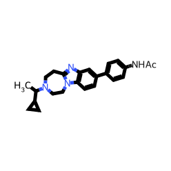 CC(=O)Nc1ccc(-c2ccc3c(c2)nc2n3CCN(C(C)C3CC3)CC2)cc1